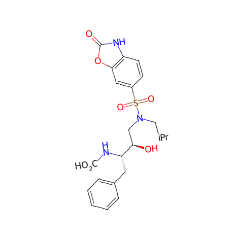 CC(C)CN(C[C@@H](O)[C@H](Cc1ccccc1)NC(=O)O)S(=O)(=O)c1ccc2[nH]c(=O)oc2c1